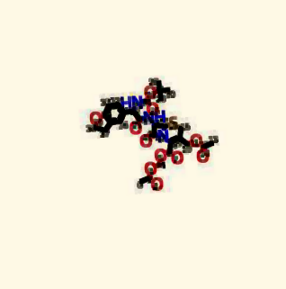 CC(=O)OCOC(=O)C1=C(COC(C)=O)CSC2C(NC(=O)C(NC(=O)OC(C)(C)C)c3ccc4c(c3)CCO4)C(=O)N12